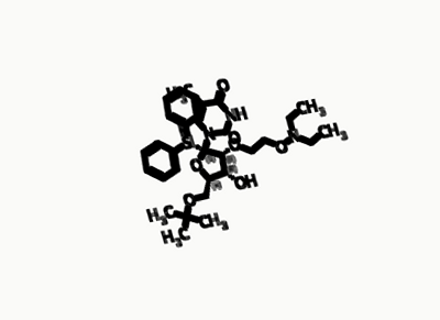 CCN(CC)OCCO[C@@H]1[C@H](O)[C@@H](COC(C)(C)C)O[C@]1(n1cc(C)c(=O)[nH]c1=O)[SiH](c1ccccc1)c1ccccc1